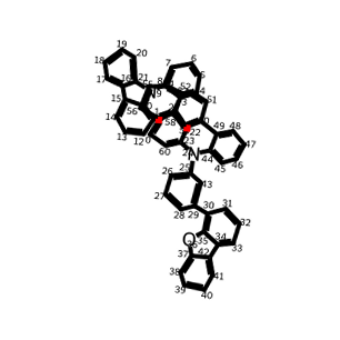 c1cc(-c2ccccc2-n2c3ccccc3c3ccccc32)cc(N(c2cccc(-c3cccc4c3oc3ccccc34)c2)c2ccccc2-c2ccc3ccccc3c2)c1